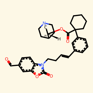 O=Cc1ccc2c(c1)oc(=O)n2CCC=Cc1cccc(C2(C(=O)O[C@H]3CN4CCC3CC4)CCCCC2)c1